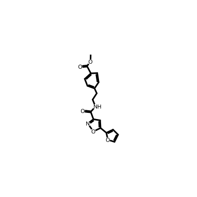 COC(=O)c1ccc(CCNC(=O)c2cc(-c3ccco3)on2)cc1